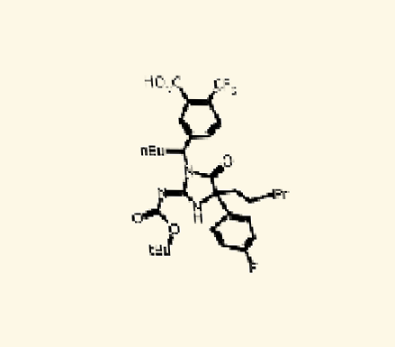 CCCCC(c1ccc(C(F)(F)F)c(C(=O)O)c1)N1C(=O)C(CCC(C)C)(c2ccc(F)cc2)NC1=NC(=O)OC(C)(C)C